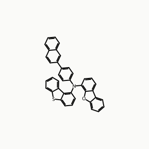 c1ccc2cc(-c3ccc(N(c4cccc5c4oc4ccccc45)c4cccc5sc6ccccc6c45)cc3)ccc2c1